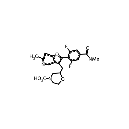 CNC(=O)c1cc(F)c(-c2oc3cc(C)ncc3c2CC2CN(C(=O)O)CCO2)c(F)c1